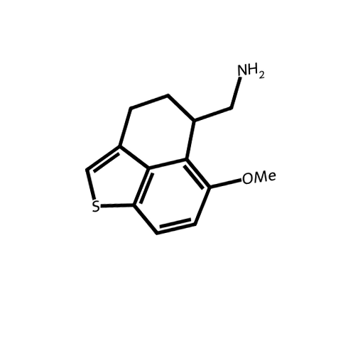 COc1ccc2scc3c2c1C(CN)CC3